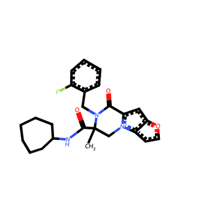 CC1(C(=O)NC2CCCCCC2)Cn2c(cc3occc32)C(=O)N1Cc1ccccc1F